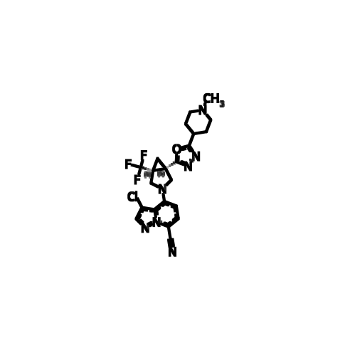 CN1CCC(c2nnc([C@]34CN(c5ccc(C#N)n6ncc(Cl)c56)C[C@@]3(C(F)(F)F)C4)o2)CC1